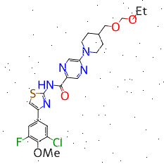 CCOCOCC1CCN(c2cnc(C(=O)Nc3nc(-c4cc(F)c(OC)c(Cl)c4)cs3)cn2)CC1